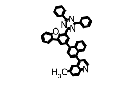 Cc1ccc2nccc(-c3ccc(-c4cc(-c5nc(-c6ccccc6)nc(-c6ccccc6)n5)c5oc6ccccc6c5c4)c4ccccc34)c2c1